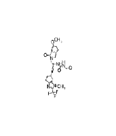 COc1ccc2c(c1)C(=O)N(C[C@@H](C#Cc1ccc3nc(C(F)(F)F)n(C)c3c1)NC(=O)NC=O)C2